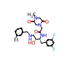 CCc1cccc(CNC[C@@H](O)[C@H](Cc2cc(F)cc(F)c2)NC(=O)CN2CC(=O)N(C)CC2=O)c1